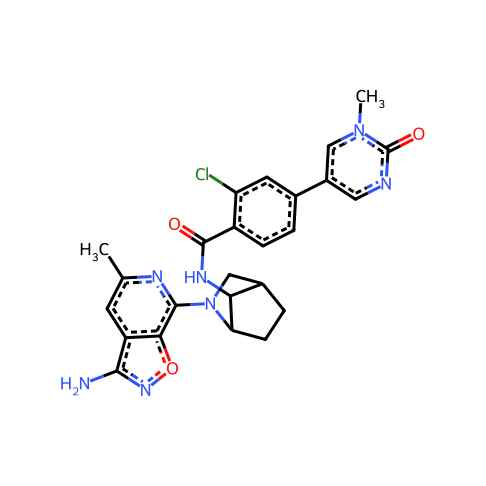 Cc1cc2c(N)noc2c(N2CC3CCC2C3NC(=O)c2ccc(-c3cnc(=O)n(C)c3)cc2Cl)n1